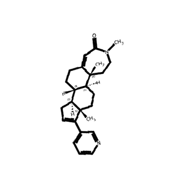 CN1CC[C@@]2(C)C(=CC1=O)CC[C@@H]1[C@@H]2CC[C@]2(C)C(c3cccnc3)=CC[C@@H]12